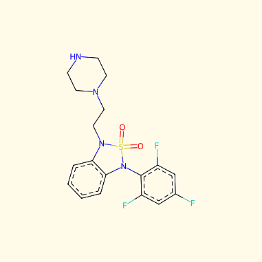 O=S1(=O)N(CCN2CCNCC2)c2ccccc2N1c1c(F)cc(F)cc1F